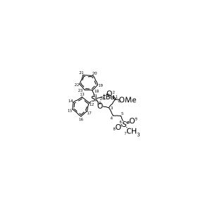 COC(=O)C(CCS(C)(=O)=O)O[Si](c1ccccc1)(c1ccccc1)C(C)(C)C